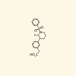 O=C(O)Cc1cccc(C2CCCN(S(=O)(=O)c3ccccc3)C2I)c1